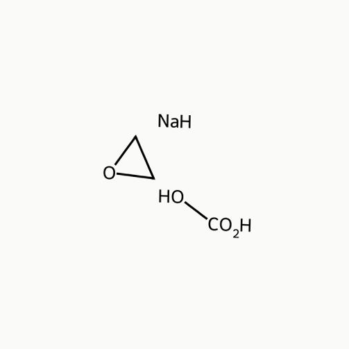 C1CO1.O=C(O)O.[NaH]